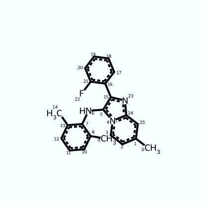 Cc1ccn2c(Nc3c(C)cccc3C)c(-c3ccccc3F)nc2c1